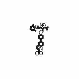 COC(=O)c1ccc2cc(-c3ccc(OCC4C(COc5c(C)cccc5C)=NOC4C(C)C)cc3)ccc2n1